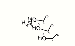 CCO.CCO.CCO.[SiH4]